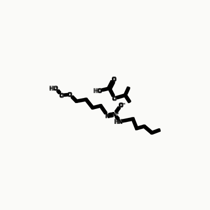 CC(C)OC(=O)O.CCCCCN[N+]([O-])=NCCCCOOO